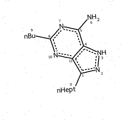 CCCCCCCc1n[nH]c2c(N)nc(CCCC)nc12